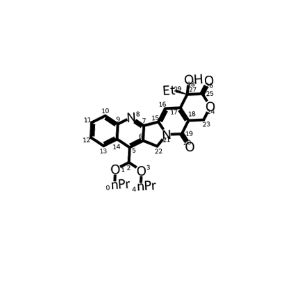 CCCOC(OCCC)c1c2c(nc3ccccc13)-c1cc3c(c(=O)n1C2)COC(=O)[C@]3(O)CC